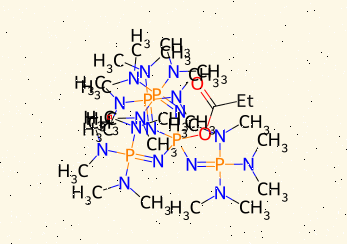 CCC(=O)OP(N=P(N(C)C)(N(C)C)N(C)C)(N=P(N(C)C)(N(C)C)N(C)C)(N=P(N(C)C)(N(C)C)N(C)C)N=P(N(C)C)(N(C)C)N(C)C